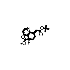 COC(=O)C1(F)CC/C(=C\C(=O)OC(C)(C)C)c2ncccc21